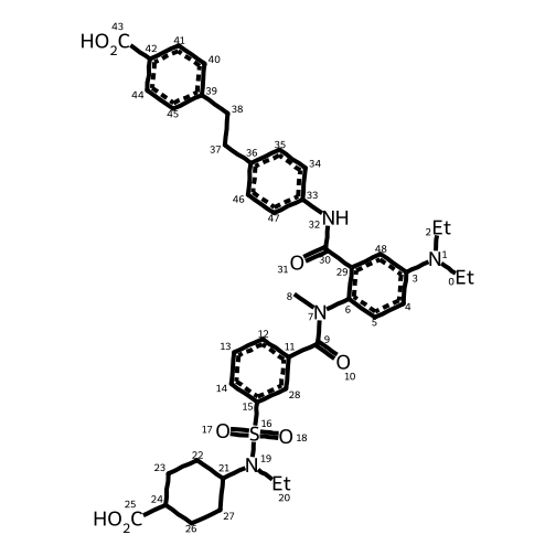 CCN(CC)c1ccc(N(C)C(=O)c2cccc(S(=O)(=O)N(CC)C3CCC(C(=O)O)CC3)c2)c(C(=O)Nc2ccc(CCc3ccc(C(=O)O)cc3)cc2)c1